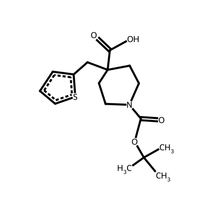 CC(C)(C)OC(=O)N1CCC(Cc2cccs2)(C(=O)O)CC1